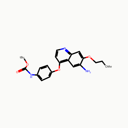 COCCOc1cc2nccc(Oc3ccc(NC(=O)OC(C)(C)C)cc3)c2cc1N